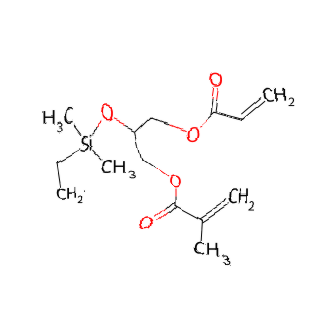 [CH2]C[Si](C)(C)OC(COC(=O)C=C)COC(=O)C(=C)C